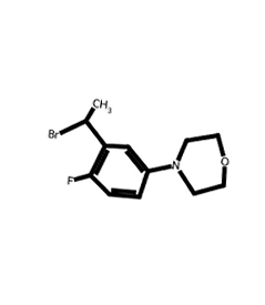 CC(Br)c1cc(N2CCOCC2)ccc1F